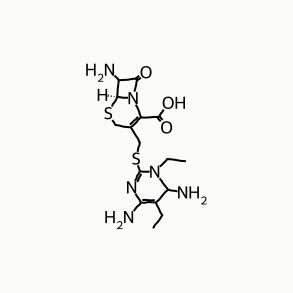 CCC1=C(N)N=C(SCC2=C(C(=O)O)N3C(=O)C(N)[C@@H]3SC2)N(CC)C1N